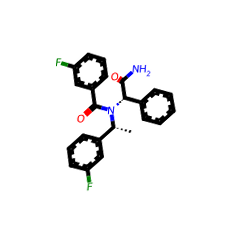 C[C@H](c1cccc(F)c1)N(C(=O)c1cccc(F)c1)[C@H](C(N)=O)c1ccccc1